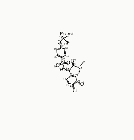 CN(C)C(=O)[C@H](NS(=O)(=O)c1ccc(OC(F)(F)F)cc1)c1ccc(Cl)c(Cl)c1